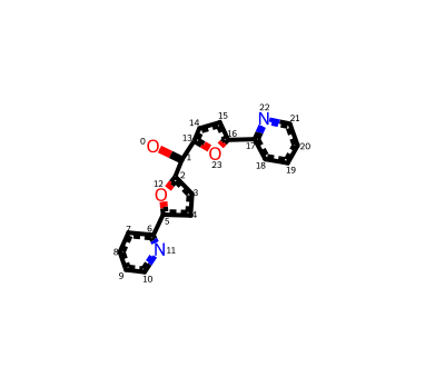 O=C(c1ccc(-c2ccccn2)o1)c1ccc(-c2ccccn2)o1